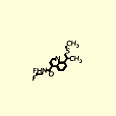 CCSCC(C)c1cccc2c(C(=O)NCC(F)F)ccnc12